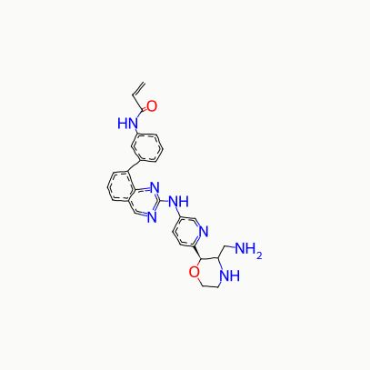 C=CC(=O)Nc1cccc(-c2cccc3cnc(Nc4ccc([C@@H]5OCCNC5CN)nc4)nc23)c1